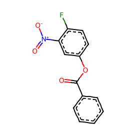 O=C(Oc1ccc(F)c([N+](=O)[O-])c1)c1ccccc1